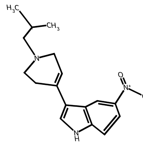 C[C](C)CN1CC=C(c2c[nH]c3ccc([N+](=O)[O-])cc23)CC1